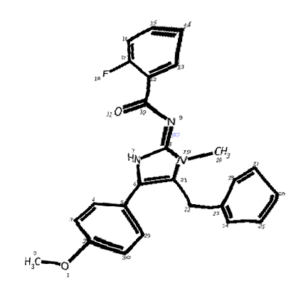 COc1ccc(-c2[nH]/c(=N\C(=O)c3ccccc3F)n(C)c2Cc2ccccc2)cc1